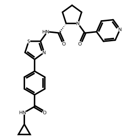 O=C(NC1CC1)c1ccc(-c2csc(NC(=O)[C@@H]3CCCN3C(=O)c3ccncc3)n2)cc1